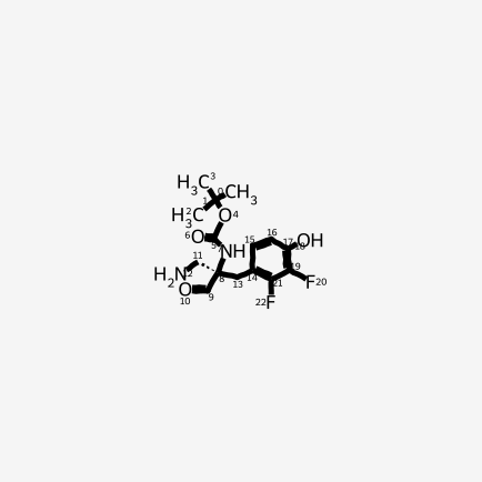 CC(C)(C)OC(=O)N[C@@](C=O)(CN)Cc1ccc(O)c(F)c1F